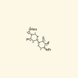 CCCCCCOC1CCC(C2CCC(CCC)C(F)C2F)CC1F